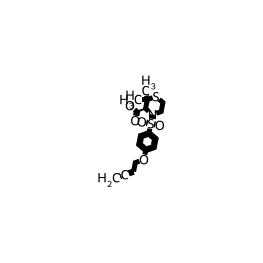 C=C=CCOc1ccc(S(=O)(=O)N2CCSC(C)(C)[C@@H]2C(=O)O)cc1